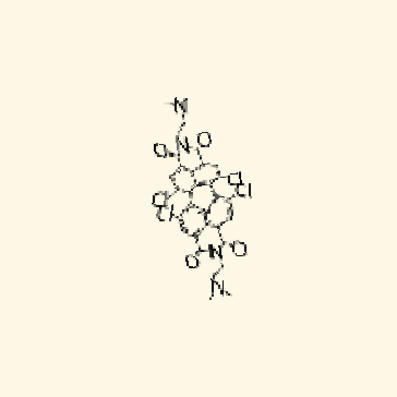 CN(C)CCN1C(=O)c2cc(Cl)c3c4c(Cl)cc5c6c(cc(Cl)c(c7c(Cl)cc(c2c37)C1=O)c64)C(=O)N(CCN(C)C)C5=O